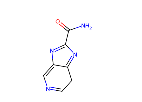 NC(=O)C1=NC2=CN=CCC2=N1